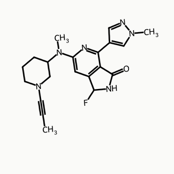 CC#CN1CCCC(N(C)c2cc3c(c(-c4cnn(C)c4)n2)C(=O)NC3F)C1